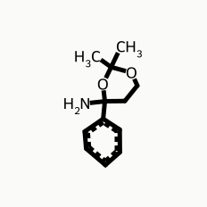 CC1(C)OCCC(N)(c2ccccc2)O1